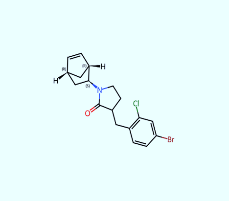 O=C1C(Cc2ccc(Br)cc2Cl)CCN1[C@H]1C[C@@H]2C=C[C@H]1C2